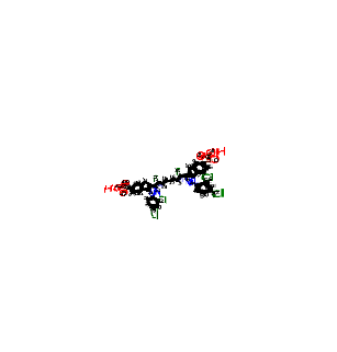 O=S(=O)(O)c1ccc2c(c1)Cc1c(/C(F)=C/CCC/C=C(\F)c3nn(-c4ccc(Cl)cc4Cl)c4c3Cc3cc(S(=O)(=O)O)ccc3-4)nn(-c3ccc(Cl)cc3Cl)c1-2